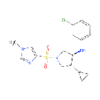 Cn1cnc(S(=O)(=O)N2C[C@@H](Nc3cccc(Cl)c3)[C@H](C3CC3)C2)c1